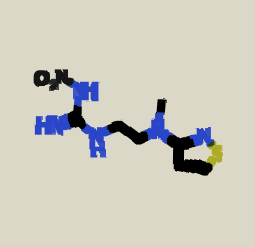 CN(CCNC(=N)N[N+](=O)[O-])c1ccsn1